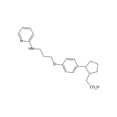 O=C(O)CC1CCCC1c1ccc(OCCCNc2ccccn2)cc1